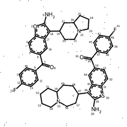 Nc1oc2ccc(C(=O)c3ccc(F)cc3)cc2c1C1CCN2CCCC2C1.Nc1sc2ccc(C(=O)c3ccc(F)cc3)cc2c1C1CCC2CCCCN2CC1